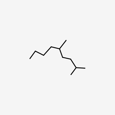 CCCC[C](C)CCC(C)C